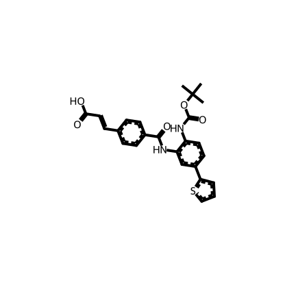 CC(C)(C)OC(=O)Nc1ccc(-c2cccs2)cc1NC(=O)c1ccc(/C=C/C(=O)O)cc1